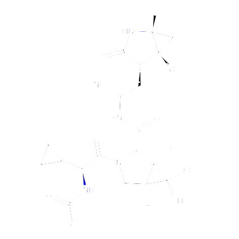 CC1(C)[C@@H]2[C@@H](C(=O)N[C@H](C#N)C[C@H]3C(=O)N[C@@H]4C[C@@H]43)N(C(=O)[C@@H](NC(=O)C(F)(F)F)C3CC3)C[C@@H]21